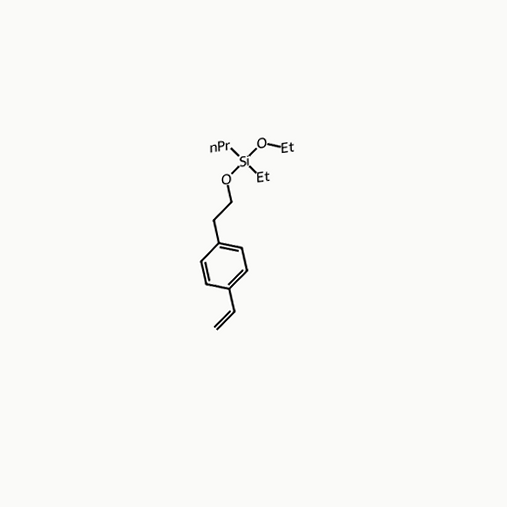 C=Cc1ccc(CCO[Si](CC)(CCC)OCC)cc1